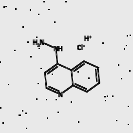 NNc1ccnc2ccccc12.[Cl-].[H+]